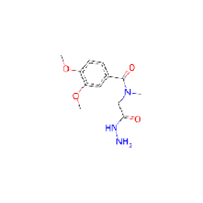 COc1ccc(C(=O)N(C)CC(=O)NN)cc1OC